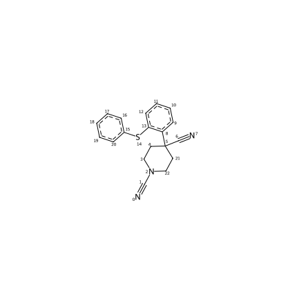 N#CN1CCC(C#N)(c2ccccc2Sc2ccccc2)CC1